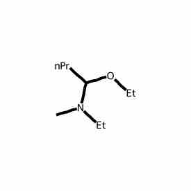 CCCC(OCC)N(C)CC